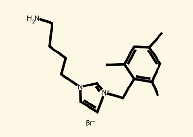 Cc1cc(C)c(C[n+]2ccn(CCCCN)c2)c(C)c1.[Br-]